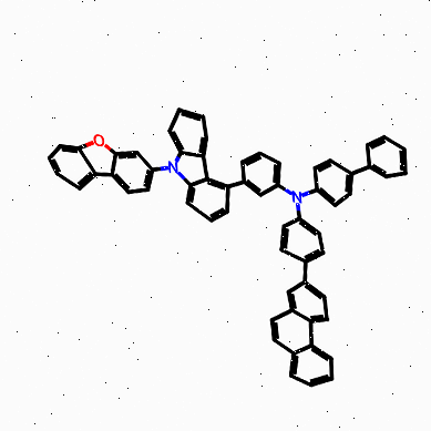 c1ccc(-c2ccc(N(c3ccc(-c4ccc5c(ccc6ccccc65)c4)cc3)c3cccc(-c4cccc5c4c4ccccc4n5-c4ccc5c(c4)oc4ccccc45)c3)cc2)cc1